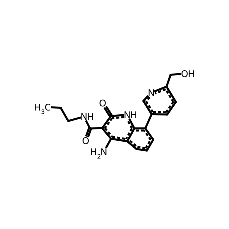 CCCNC(=O)c1c(N)c2cccc(-c3ccc(CO)nc3)c2[nH]c1=O